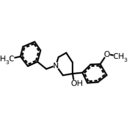 COc1cccc(C2(O)CCCN(Cc3cccc(C)c3)C2)c1